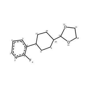 Fc1ncccc1C1CCC(C2OCCO2)CC1